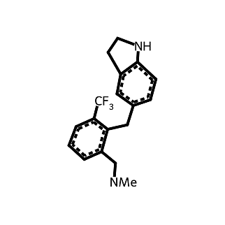 CNCc1cccc(C(F)(F)F)c1Cc1ccc2c(c1)CCN2